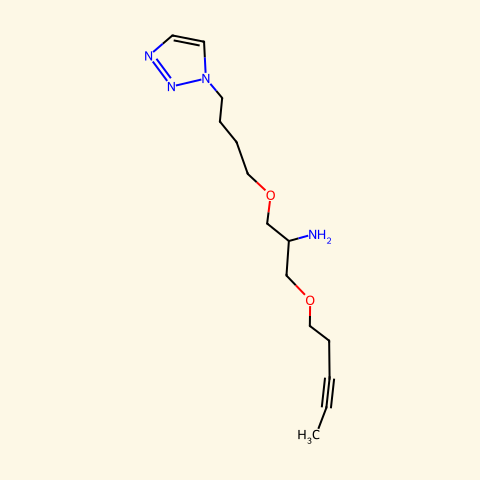 CC#CCCOCC(N)COCCCCn1ccnn1